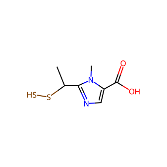 CC(SS)c1ncc(C(=O)O)n1C